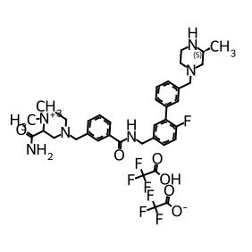 C[C@H]1CN(Cc2cccc(-c3cc(CNC(=O)c4cccc(CN5CC[N+](C)(C)C(C(N)=O)C5)c4)ccc3F)c2)CCN1.O=C(O)C(F)(F)F.O=C([O-])C(F)(F)F